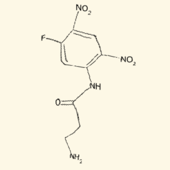 NCCC(=O)Nc1cc(F)c([N+](=O)[O-])cc1[N+](=O)[O-]